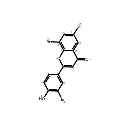 O=c1cc(-c2ccc(O)c(Br)c2)oc2c(Br)cc(Br)cc12